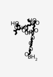 BC(=O)CCOCCOCCOCCNC(=O)CCC(C(=O)O)N(CCC)CCN(CCN(CCC(C)CC)CC(=O)O)CC(=O)O